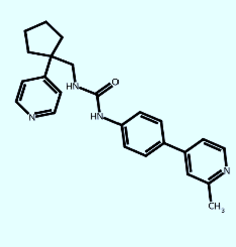 Cc1cc(-c2ccc(NC(=O)NCC3(c4ccncc4)CCCC3)cc2)ccn1